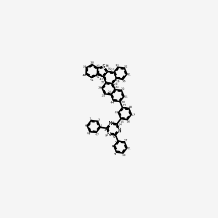 c1ccc(-c2nc(-c3ccccc3)nc(-c3cccc(-c4ccc5c(ccc6c5c5ccccc5c5sc7ccccc7c65)c4)c3)n2)cc1